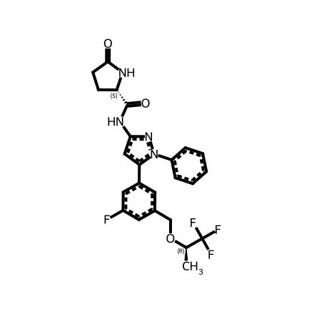 C[C@@H](OCc1cc(F)cc(-c2cc(NC(=O)[C@@H]3CCC(=O)N3)nn2-c2ccccc2)c1)C(F)(F)F